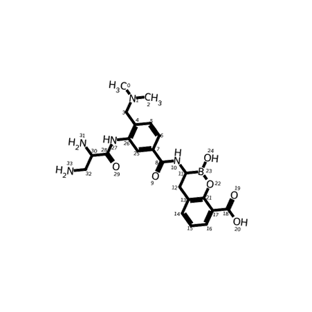 CN(C)Cc1ccc(C(=O)NC2Cc3cccc(C(=O)O)c3OB2O)cc1NC(=O)C(N)CN